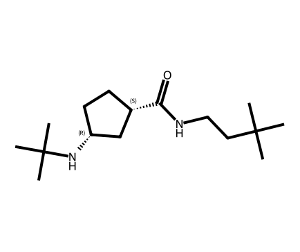 CC(C)(C)CCNC(=O)[C@H]1CC[C@@H](NC(C)(C)C)C1